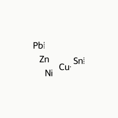 [Cu].[Ni].[Pb].[Sn].[Zn]